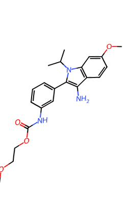 COCCOC(=O)Nc1cccc(-c2c(N)c3ccc(OC)cc3n2C(C)C)c1